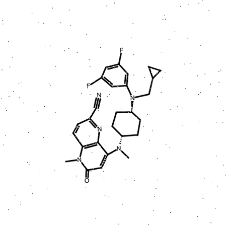 Cn1c(=O)cc(N(C)[C@H]2CC[C@H](N(CC3CC3)c3cc(F)cc(F)c3)CC2)c2nc(C#N)ccc21